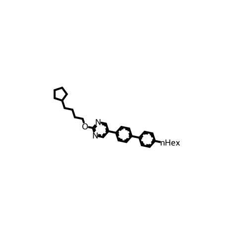 CCCCCCc1ccc(-c2ccc(-c3cnc(OCCCCC4CCCC4)nc3)cc2)cc1